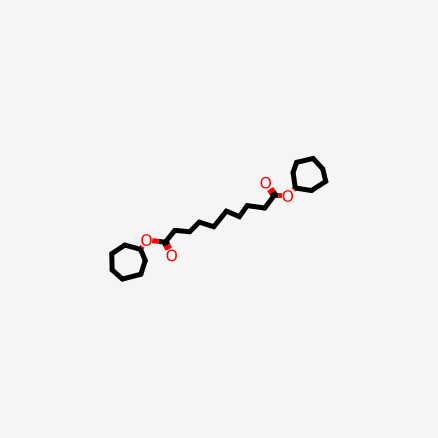 O=C(CCCCCCCCC(=O)OC1CCCCCC1)OC1CCCCCC1